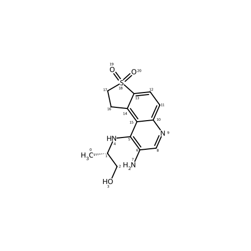 C[C@@H](CO)Nc1c(N)cnc2ccc3c(c12)CCS3(=O)=O